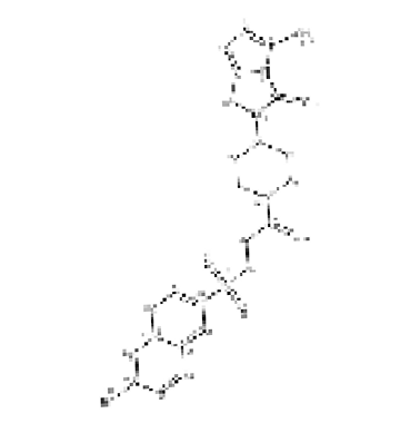 Cc1ncc2n1C(=O)N(C1CCN(C(=O)CCS(=O)(=O)c3ccc4cc(Br)ccc4c3)CC1)C2